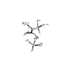 CN(C(=O)NS(=O)(=O)F)S(=O)(=O)F